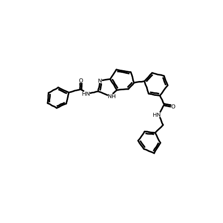 O=C(NCc1ccccc1)c1cccc(-c2ccc3nc(NC(=O)c4ccccc4)[nH]c3c2)c1